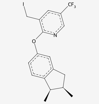 C[C@@H]1Cc2cc(Oc3ncc(C(F)(F)F)cc3CI)ccc2[C@@H]1C